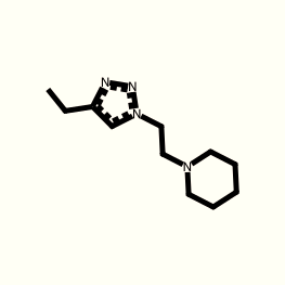 CCc1cn(CCN2CCCCC2)nn1